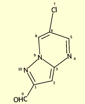 O=Cc1cc2ncc(Cl)cn2n1